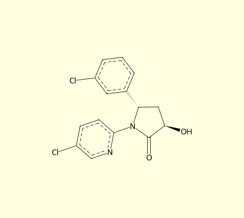 O=C1[C@H](O)C[C@@H](c2cccc(Cl)c2)N1c1ccc(Cl)cn1